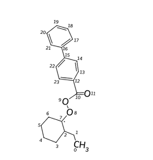 CCC1CCCC[C]1OOC(=O)c1ccc(-c2ccccc2)cc1